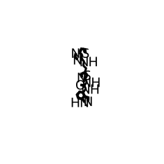 O=C(Nc1ncc(CCNc2ncnc3ccsc23)s1)Nc1cccc2[nH]ncc12